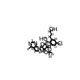 Cc1ncnc2c1ccn2[C@@H]1O[C@H](C(O)c2ccc(Cl)cc2CCCO)[C@H]2OC(C)(C)O[C@H]21